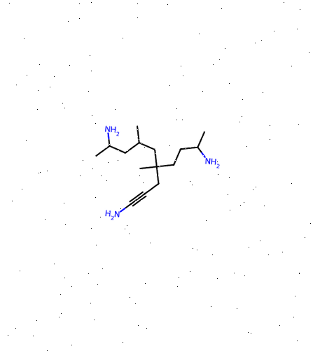 CC(N)CCC(C)(CC#CN)CC(C)CC(C)N